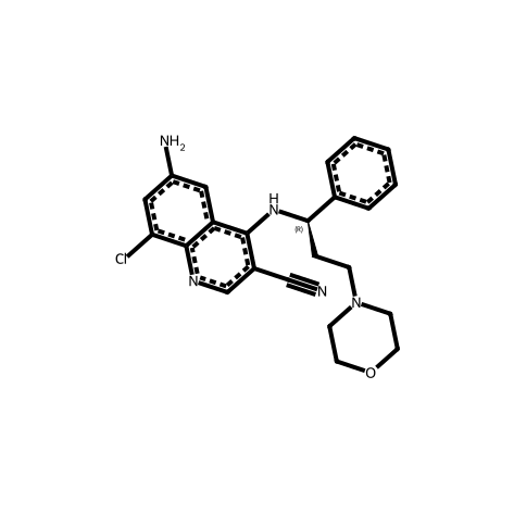 N#Cc1cnc2c(Cl)cc(N)cc2c1N[C@H](CCN1CCOCC1)c1ccccc1